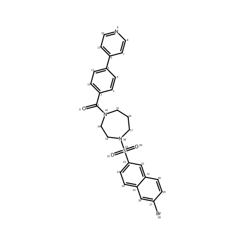 O=C(c1ccc(-c2ccncc2)cc1)N1CCCN(S(=O)(=O)c2ccc3cc(Br)ccc3c2)CC1